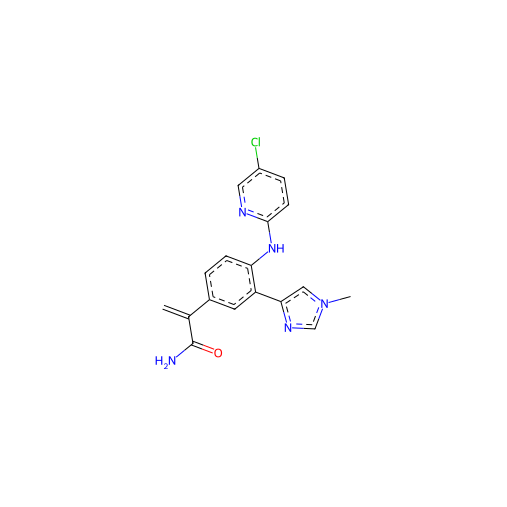 C=C(C(N)=O)c1ccc(Nc2ccc(Cl)cn2)c(-c2cn(C)cn2)c1